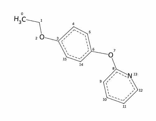 CCOc1ccc(Oc2ccccn2)cc1